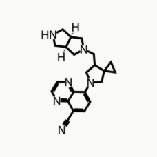 N#Cc1ccc(N2CC(CN3C[C@H]4CNC[C@H]4C3)C3(CC3)C2)c2nccnc12